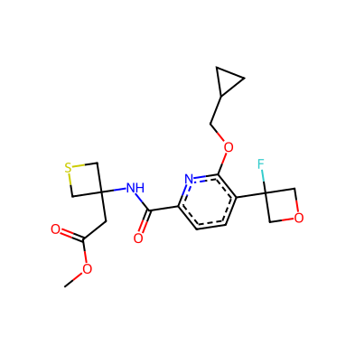 COC(=O)CC1(NC(=O)c2ccc(C3(F)COC3)c(OCC3CC3)n2)CSC1